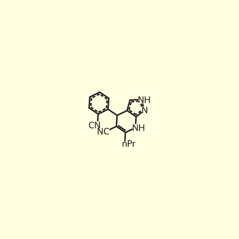 CCCC1=C(C#N)C(c2ccccc2C#N)c2c[nH]nc2N1